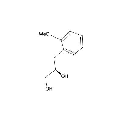 COc1ccccc1C[C@@H](O)CO